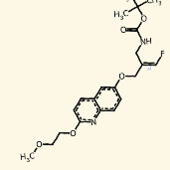 COCCOc1ccc2cc(OC/C(=C/F)CNC(=O)OC(C)(C)C)ccc2n1